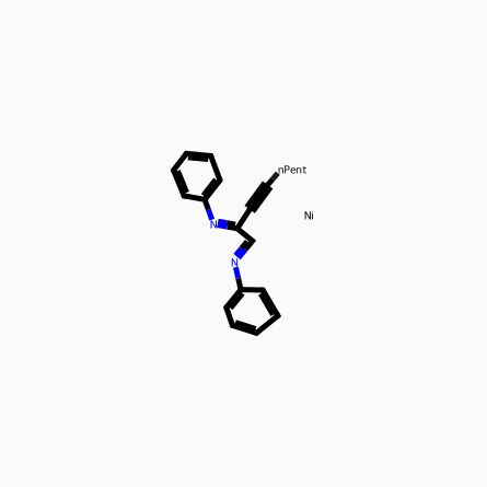 CCCCCC#CC(C=Nc1ccccc1)=Nc1ccccc1.[Ni]